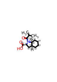 CC(C)C(=O)N1[C@H](C(=O)O)C[C@@H]2CCCC[C@@H]21